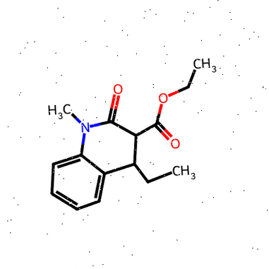 CCOC(=O)C1C(=O)N(C)c2ccccc2C1CC